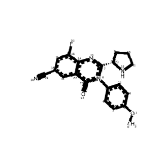 COc1ccc(-n2c([C@@H]3CCCN3)nc3c(F)cc(C#N)cc3c2=O)cc1